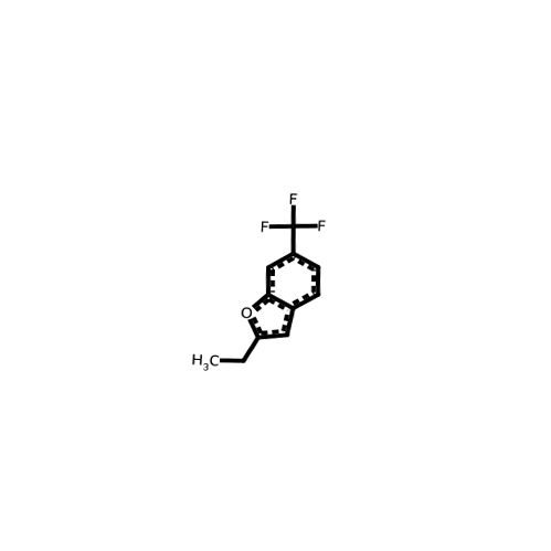 CCc1cc2ccc(C(F)(F)F)cc2o1